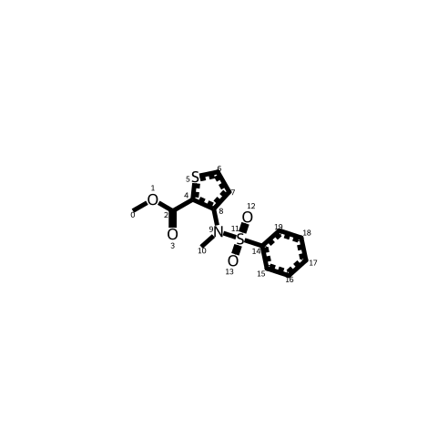 COC(=O)c1sccc1N(C)S(=O)(=O)c1ccccc1